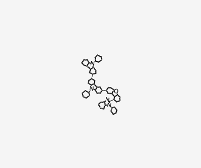 c1ccc(-n2c(-c3cccc4oc5ccc(-c6ccc7c(c6)c6cc(-c8ccc9c(c8)c8ccccc8n9-c8ccccc8)ccc6n7-c6ccccc6)cc5c34)nc3ccccc32)cc1